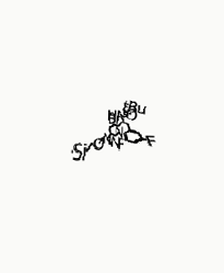 CC(C)(C)[S+]([O-])NC(Cc1cc(F)cc(F)c1)c1nc2ncn(COCC[Si](C)(C)C)c2cc1Br